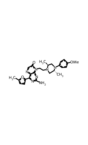 COc1ccc(N2C[C@H](C)N(CCn3c(=O)cnc4c(-c5ccc(C)o5)nc(N)nc43)C[C@H]2C)cc1